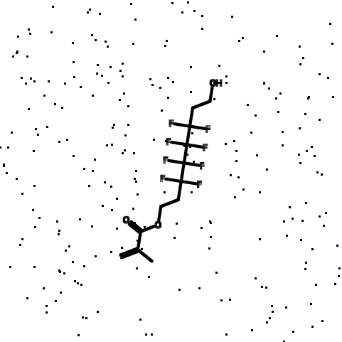 C=C(C)C(=O)OCCC(F)(F)C(F)(F)C(F)(F)C(F)(F)CCO